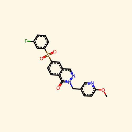 COc1ccc(Cn2ncc3cc(S(=O)(=O)c4cccc(F)c4)ccc3c2=O)cn1